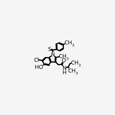 CCC(C)NC(=O)Cc1c(C)n(C(=S)c2ccc(C)cc2)c2cc(Cl)c(O)cc12